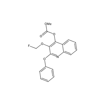 COC(=O)Oc1c(OCF)c(Oc2ccccc2)nc2ccccc12